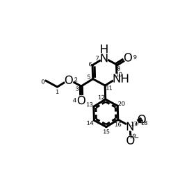 CCOC(=O)C1=CNC(=O)NC1c1cccc([N+](=O)[O-])c1